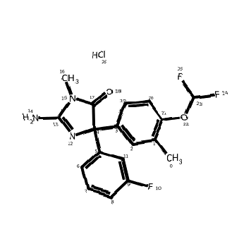 Cc1cc(C2(c3cccc(F)c3)N=C(N)N(C)C2=O)ccc1OC(F)F.Cl